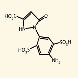 Nc1cc(S(=O)(=O)O)c(-n2[nH]c(C(=O)O)cc2=O)cc1S(=O)(=O)O